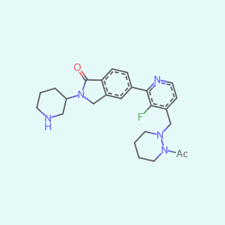 CC(=O)N1CCCCN1Cc1ccnc(-c2ccc3c(c2)CN(C2CCCNC2)C3=O)c1F